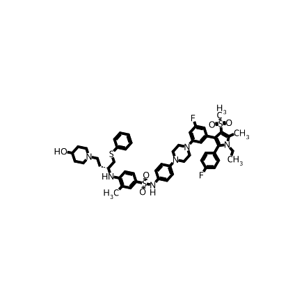 CCn1c(C)c(S(C)(=O)=O)c(-c2cc(F)cc(N3CCN(c4ccc(NS(=O)(=O)c5ccc(N[C@H](CCN6CCC(O)CC6)CSc6ccccc6)c(C)c5)cc4)CC3)c2)c1-c1ccc(F)cc1